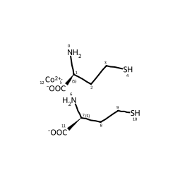 N[C@@H](CCS)C(=O)[O-].N[C@@H](CCS)C(=O)[O-].[Co+2]